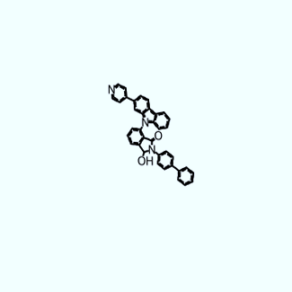 O=C1c2c(cccc2-n2c3ccccc3c3ccc(-c4ccncc4)cc32)C(O)N1c1ccc(-c2ccccc2)cc1